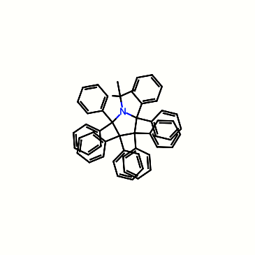 CC(C)(C)N1C(c2ccccc2)(c2ccccc2)C(c2ccccc2)(c2ccccc2)C(c2ccccc2)(c2ccccc2)C1(c1ccccc1)c1ccccc1